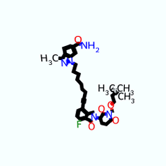 Cc1nn(CCCCCCCC#Cc2ccc(F)c3c2CN(C2CCC(=O)N(COCC[Si](C)(C)C)C2=O)C3=O)c2cc(C(N)=O)ccc12